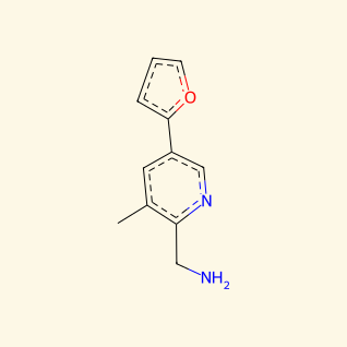 Cc1cc(-c2ccco2)cnc1CN